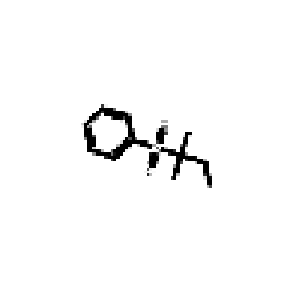 CCC(C)(C)S(=O)(=O)c1ccccc1